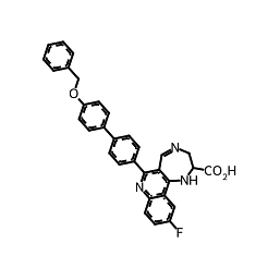 O=C(O)C1CN=Cc2c(-c3ccc(-c4ccc(OCc5ccccc5)cc4)cc3)nc3ccc(F)cc3c2N1